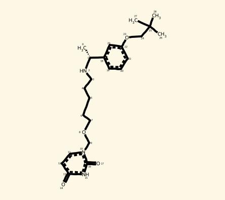 C[C@@H](NCCCCCOCn1ccc(=O)[nH]c1=O)c1cccc(OCC(C)(C)C)c1